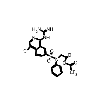 N=C(N)Nc1ncc(Cl)c2ccc(S(=O)(=O)N(CC(=O)OC(=O)C(F)(F)F)c3ccccc3)cc12